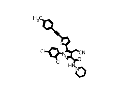 Cc1ccc(C#Cc2ccc(-c3c(CC#N)c(C(=O)NN4CCCCC4)nn3-c3ccc(Cl)cc3Cl)s2)cc1